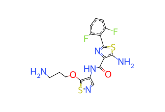 NCCCOc1sncc1NC(=O)c1nc(-c2c(F)cccc2F)sc1N